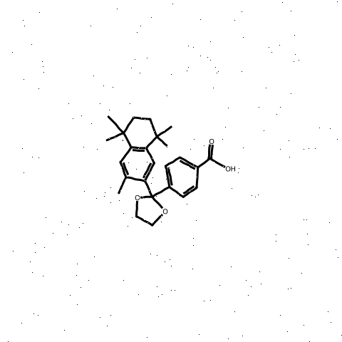 Cc1cc2c(cc1C1(c3ccc(C(=O)O)cc3)OCCO1)C(C)(C)CCC2(C)C